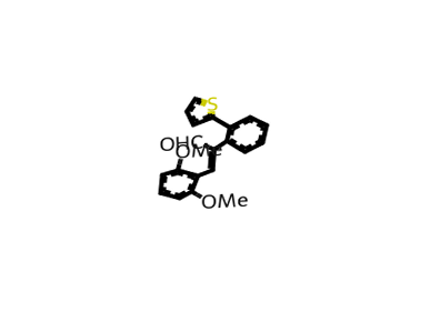 COc1cccc(OC)c1C=C(C=O)c1ccccc1-c1cccs1